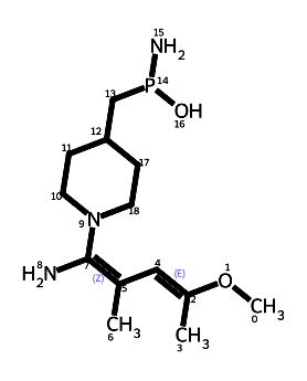 CO/C(C)=C/C(C)=C(/N)N1CCC(CP(N)O)CC1